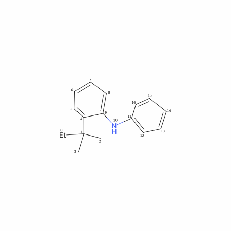 CCC(C)(C)c1ccccc1Nc1ccccc1